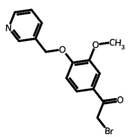 COc1cc(C(=O)CBr)ccc1OCc1cccnc1